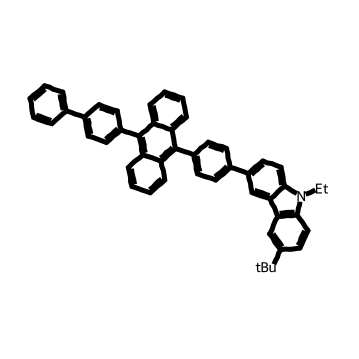 CCn1c2ccc(-c3ccc(-c4c5ccccc5c(-c5ccc(-c6ccccc6)cc5)c5ccccc45)cc3)cc2c2cc(C(C)(C)C)ccc21